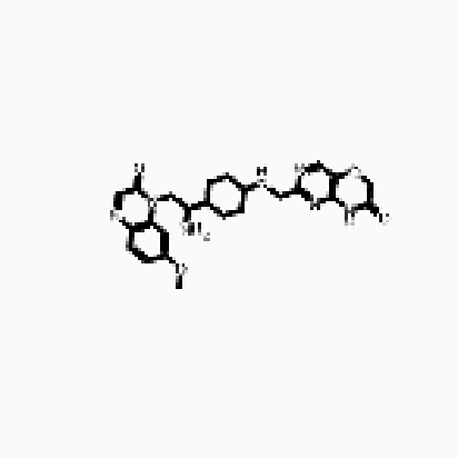 COc1ccc2ncc(=O)n(CC(N)C3CCC(NCc4ncc5c(n4)NC(=O)CO5)CC3)c2c1